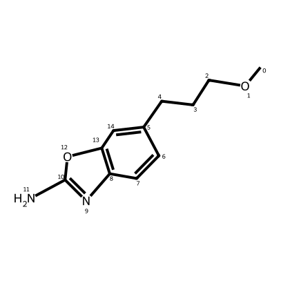 COCCCc1ccc2nc(N)oc2c1